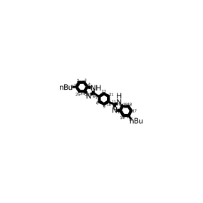 CCCCc1ccc2[nH]c(-c3ccc(-c4nc5cc(CCCC)ccc5[nH]4)cc3)nc2c1